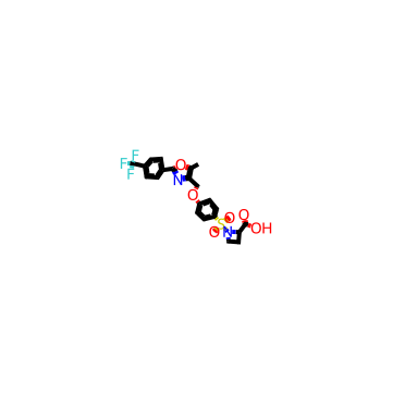 Cc1oc(-c2ccc(C(F)(F)F)cc2)nc1COc1ccc(S(=O)(=O)N2CCC2C(=O)O)cc1